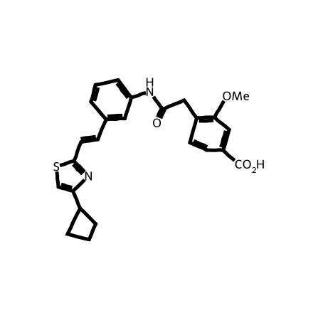 COc1cc(C(=O)O)ccc1CC(=O)Nc1cccc(C=Cc2nc(C3CCC3)cs2)c1